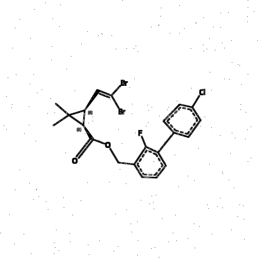 CC1(C)[C@H](C(=O)OCc2cccc(-c3ccc(Cl)cc3)c2F)[C@@H]1C=C(Br)Br